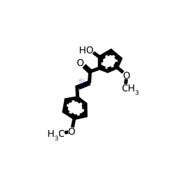 COc1ccc(/C=C/C(=O)c2cc(OC)ccc2O)cc1